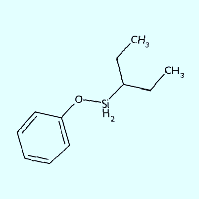 CCC(CC)[SiH2]Oc1ccccc1